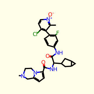 Cc1c(-c2ccc(NC(=O)C(NC(=O)c3ccc4n3CCN(C)C4)C3CC4CC4C3)cc2F)c(Cl)cc[n+]1[O-]